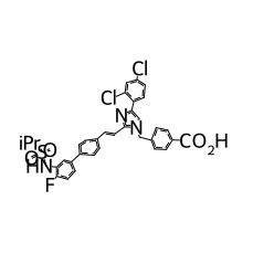 CC(C)S(=O)(=O)Nc1cc(-c2ccc(C=Cc3nc(-c4ccc(Cl)cc4Cl)cn3Cc3ccc(C(=O)O)cc3)cc2)ccc1F